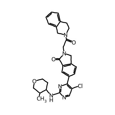 CC1COCCC1Nc1ncc(Cl)c(-c2ccc3c(c2)C(=O)N(CC(=O)N2CCc4ccccc4C2)C3)n1